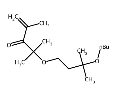 C=C(C)C(=O)C(C)(C)OCCC(C)(C)OCCCC